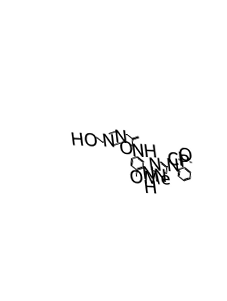 C=C(CN1CCN(CCO)CC1)C(=O)Nc1ccc(OC)c(Nc2ncc(N(Cl)c3ccccc3P(C)(C)=O)cn2)c1